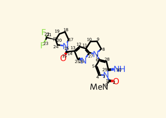 CNC(=O)n1ccc(N2CCCc3cc(C(=O)N4CCC[C@H](C(F)F)C4)cnc32)cc1=N